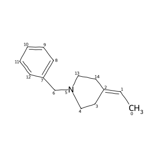 CC=C1CCN(Cc2ccccc2)CC1